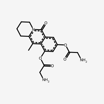 Cc1c2n(c(=O)c3cc(OC(=O)CN)cc(OC(=O)CN)c13)CCCC2